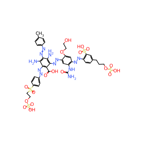 Cc1ccc(N=Nc2c(N)c(N=Nc3ccc(S(=O)(=O)CCOS(=O)(=O)O)cc3)c(C(=O)O)c(N=Nc3cc(NC(N)=O)c(N=Nc4ccc(CCCOS(=O)(=O)O)cc4S(=O)(=O)O)cc3OCCO)c2N)cc1